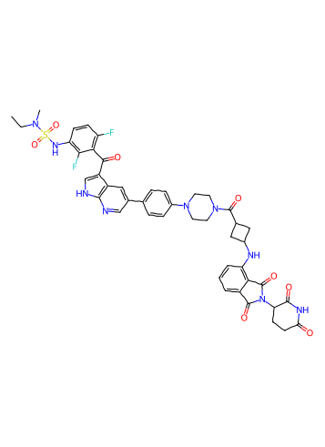 CCN(C)S(=O)(=O)Nc1ccc(F)c(C(=O)c2c[nH]c3ncc(-c4ccc(N5CCN(C(=O)C6CC(Nc7cccc8c7C(=O)N(C7CCC(=O)NC7=O)C8=O)C6)CC5)cc4)cc23)c1F